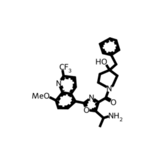 COc1ccc(-c2nc(C(=O)N3CCC(O)(Cc4ccccc4)CC3)c(C(C)N)o2)c2ccc(C(F)(F)F)nc12